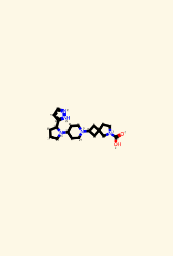 O=C(O)N1CCC2(CC(N3CCC(N4CCCC4c4ccn[nH]4)CC3)C2)C1